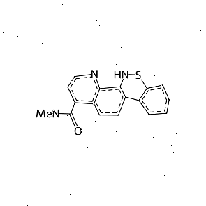 CNC(=O)c1ccnc2c3c(ccc12)-c1ccccc1SN3